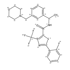 CC(NC(=O)c1sc(-c2ccccc2F)nc1C(F)(F)F)c1cccc(CN2CCOCC2)c1